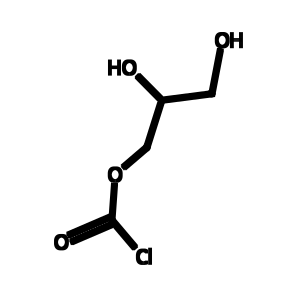 O=C(Cl)OCC(O)CO